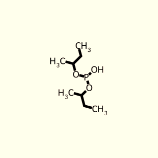 CCC(C)OP(O)OC(C)CC